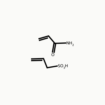 C=CC(N)=O.C=CCS(=O)(=O)O